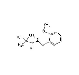 COc1ccccc1CNC(=O)C(C)(C)C